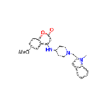 COc1ccc2oc(=O)cc(NC3CCN(Cc4cc5ccccc5n4C)CC3)c2c1